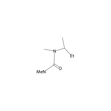 CCC(C)N(C)C(=O)NC